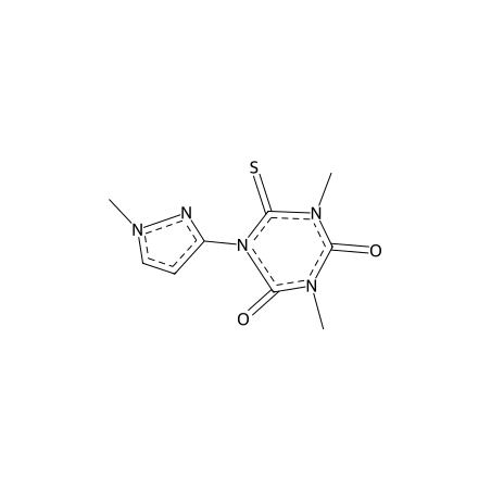 Cn1ccc(-n2c(=O)n(C)c(=O)n(C)c2=S)n1